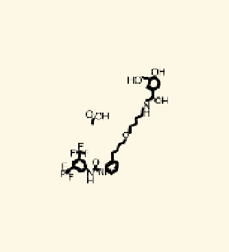 CC(=O)O.O=C(Nc1cccc(CCCCOCCCCCCNC[C@H](O)c2ccc(O)c(CO)c2)c1)Nc1cc(C(F)(F)F)cc(C(F)(F)F)c1